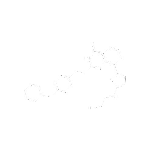 O=c1[nH]c(COc2ccc(Oc3ccccc3)cc2)nc2c(-c3csc(NCCO)n3)nccc12